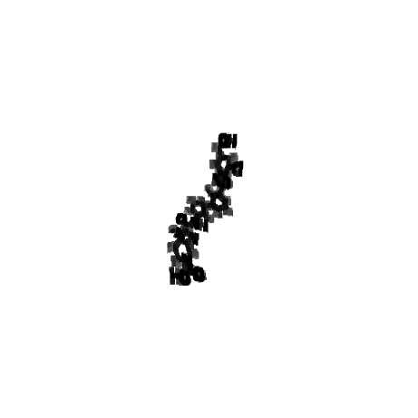 Cc1c(NC(=O)c2nc3c(n2C)CCN(C(=O)O)C3)cccc1-c1cccc(-c2nc3cc(CO)cc(Cl)c3o2)c1C